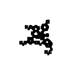 C=C(/N=C1\C(=C(/N)N(C(=O)OC23CC4C[C@@H](CC)CC2(C4)C3)c2ccc(Cl)cc2)N=CN1C)n1nc(C)cc1C